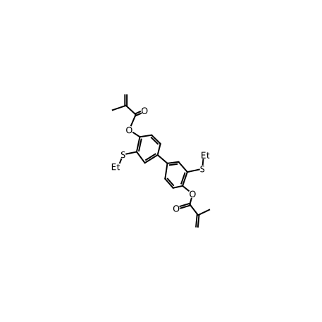 C=C(C)C(=O)Oc1ccc(-c2ccc(OC(=O)C(=C)C)c(SCC)c2)cc1SCC